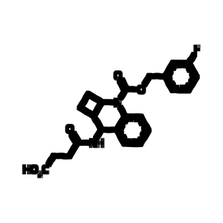 O=C(O)CCC(=O)NC1c2ccccc2N(C(=O)OCc2cccc(F)c2)C2CCC12